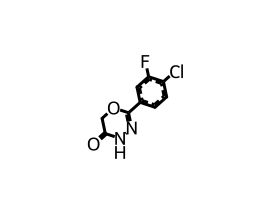 O=C1COC(c2ccc(Cl)c(F)c2)=NN1